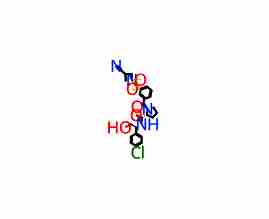 N#CC1CN(S(=O)(=O)c2cccc(C(=O)N3CCC[C@@H]3C(=O)N[C@H](CO)c3ccc(Cl)cc3)c2)C1